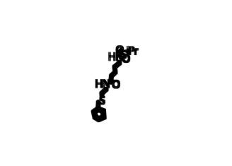 CC(C)S(=O)(=O)NCCCCC(=O)NCCSCc1ccccc1